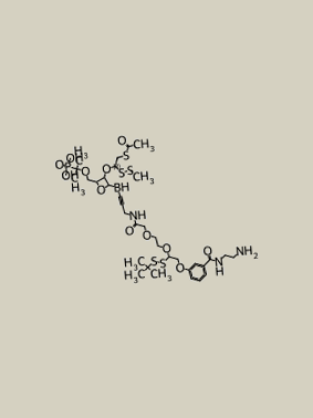 CSS[C@H](CSC(C)=O)OC1C(BC#CCNC(=O)COCCOC(COc2cccc(C(=O)NCCN)c2)SSC(C)(C)C)OC1COC(C)(C)P(=O)(O)O